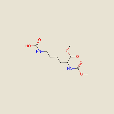 COC(=O)NC(CCCCNC(=O)O)C(=O)OC